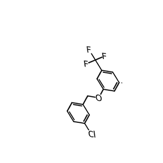 FC(F)(F)c1c[c]cc(OCc2cccc(Cl)c2)c1